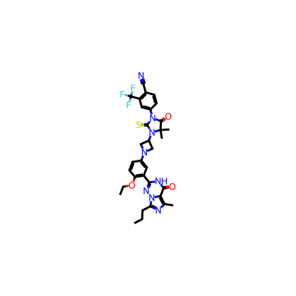 CCCc1nc(C)c2c(=O)[nH]c(-c3cc(N4CC(N5C(=S)N(c6ccc(C#N)c(C(F)(F)F)c6)C(=O)C5(C)C)C4)ccc3OCC)nn12